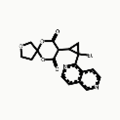 CCC1(c2nccc3cnccc23)CC1C1C(=O)OC2(CCOC2)OC1=O